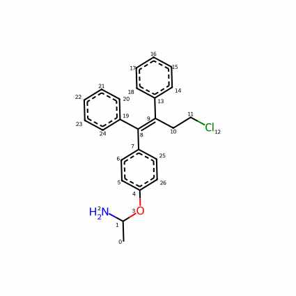 CC(N)Oc1ccc(/C(=C(\CCCl)c2ccccc2)c2ccccc2)cc1